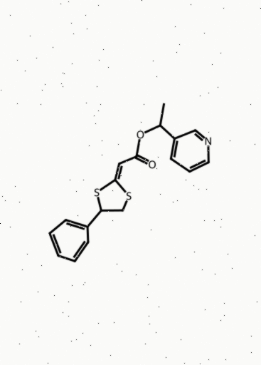 CC(OC(=O)C=C1SCC(c2ccccc2)S1)c1cccnc1